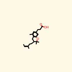 C/C=C(/C)CCC1Cc2c(C)cc(CCC(=O)O)cc2OC1(C)C